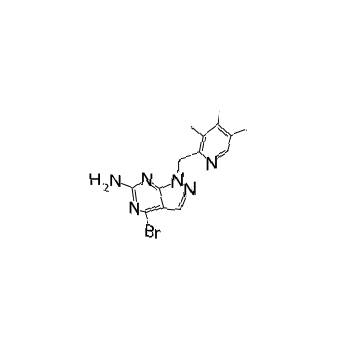 Cc1cnc(Cn2ncc3c(Br)nc(N)nc32)c(C)c1C